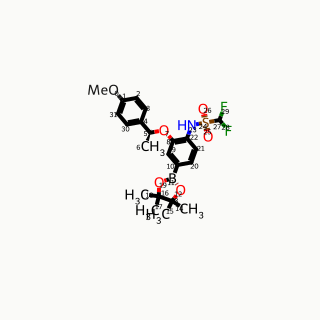 COc1ccc([C@H](C)Oc2cc(B3OC(C)(C)C(C)(C)O3)ccc2NS(=O)(=O)C(F)F)cc1